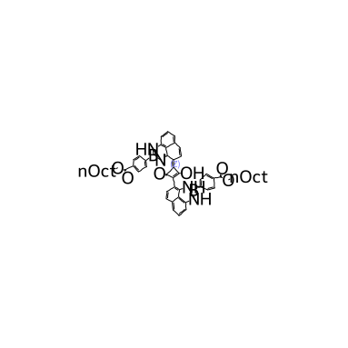 CCCCCCCCOC(=O)c1ccc(B2N=c3/c(=C4\C(=O)C(c5ccc6cccc7c6c5NB(c5ccc(C(=O)OCCCCCCCC)cc5)N7)=C4O)ccc4cccc(c34)N2)cc1